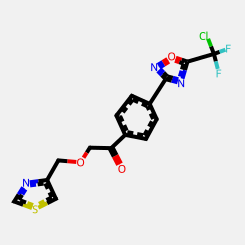 O=C(COCc1cscn1)c1ccc(-c2noc(C(F)(F)Cl)n2)cc1